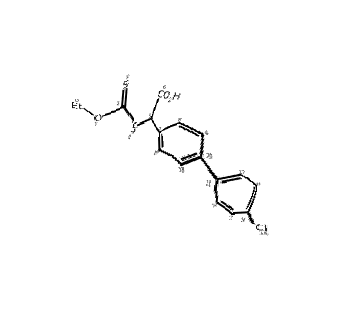 CCOC(=S)SC(C(=O)O)c1ccc(-c2ccc(Cl)cc2)cc1